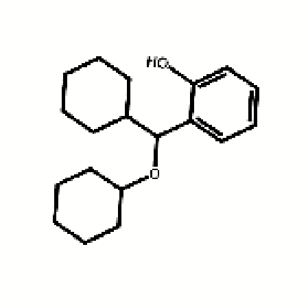 Oc1ccccc1C(OC1CCCCC1)C1CCCCC1